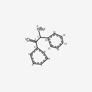 CCC[CH]C(C(=O)c1ccccc1)c1ccccc1